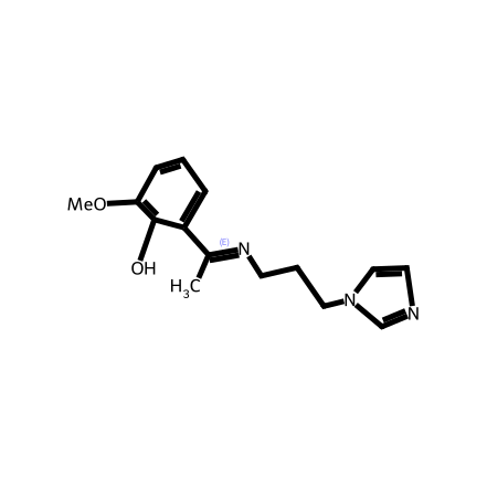 COc1cccc(/C(C)=N/CCCn2ccnc2)c1O